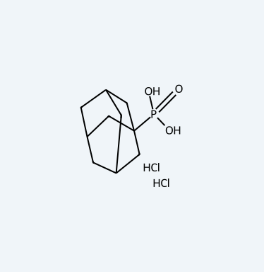 Cl.Cl.O=P(O)(O)C12CC3CC(CC(C3)C1)C2